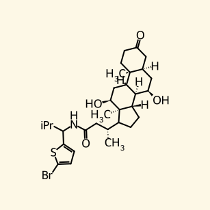 CC(C)C(NC(=O)C[C@@H](C)C1CC[C@H]2[C@@H]3[C@H](O)C[C@@H]4CC(=O)CC[C@]4(C)[C@H]3C[C@H](O)[C@]12C)c1ccc(Br)s1